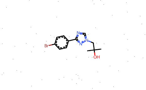 CC(C)(O)Cn1cnc(-c2ccc(Br)cc2)n1